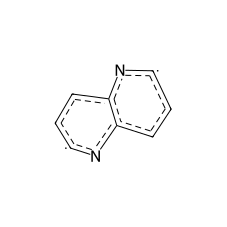 [c]1ccc2n[c]ccc2n1